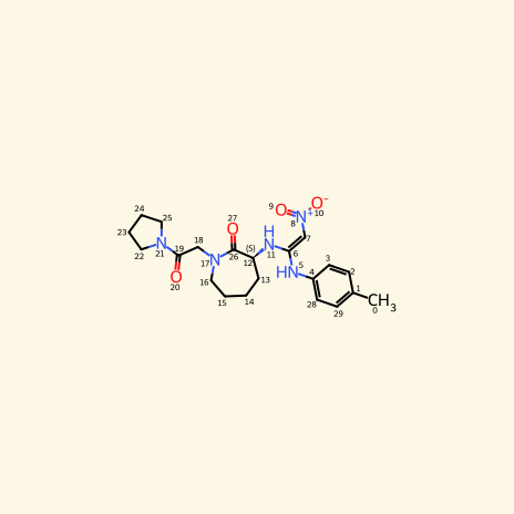 Cc1ccc(NC(=C[N+](=O)[O-])N[C@H]2CCCCN(CC(=O)N3CCCC3)C2=O)cc1